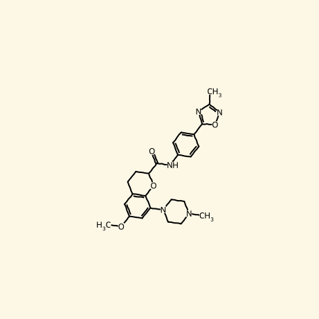 COc1cc2c(c(N3CCN(C)CC3)c1)OC(C(=O)Nc1ccc(-c3nc(C)no3)cc1)CC2